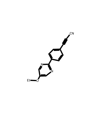 CCOc1cnc(-c2ccc(C#CC#N)cc2)nc1